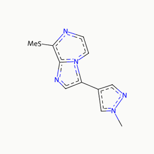 CSc1nccn2c(-c3cnn(C)c3)cnc12